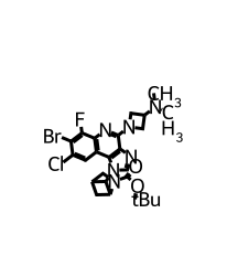 CN(C)C1CN(c2nc3c(F)c(Br)c(Cl)cc3c3c2ncn3C2C3CC2N(C(=O)OC(C)(C)C)C3)C1